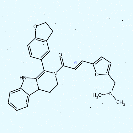 CN(C)Cc1ccc(/C=C/C(=O)N2CCC3C(=C2c2ccc4c(c2)CCO4)Nc2ccccc23)o1